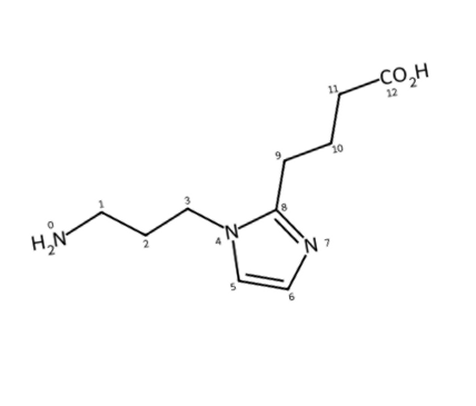 NCCCn1ccnc1CCCC(=O)O